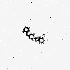 Cc1ccccc1CC1CCN(c2nc3nc[nH]c(=O)c3s2)CC1